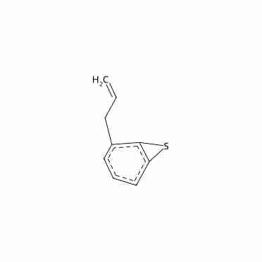 C=CCc1cccc2c1S2